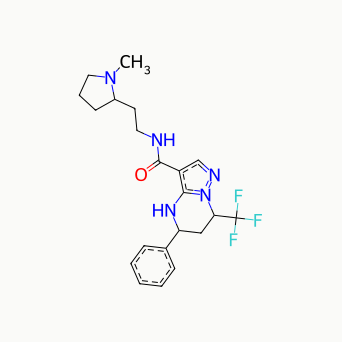 CN1CCCC1CCNC(=O)c1cnn2c1NC(c1ccccc1)CC2C(F)(F)F